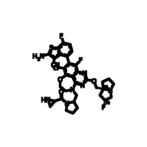 N#Cc1c(N)sc2c(F)ccc(-c3c(Cl)c4c5c(nc(OC[C@@]67CCCN6C[C@H](F)C7)nc5c3F)N(CC3CCCN3C(=O)C3CN3)CCO4)c12